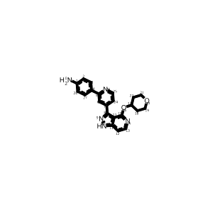 Nc1ccc(-c2cc(-c3n[nH]c4ccnc(OC5CCOCC5)c34)ccn2)cc1